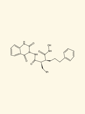 CC(C)C[C@@H](C(=O)Nn1c(=O)[nH]c2ccccc2c1=O)[C@H](CCCc1ccccc1)C(=O)NO